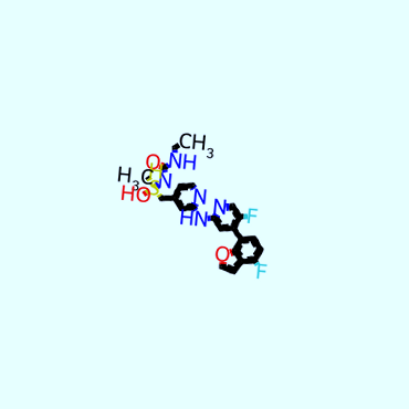 CCNC(=O)N=[SH](C)(O)Cc1ccnc(Nc2cc(-c3ccc(F)c4ccoc34)c(F)cn2)c1